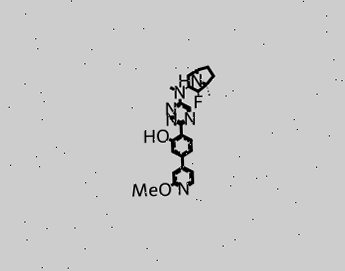 COc1cc(-c2ccc(-c3ncc(N(C)[C@@H]4CC5CC[C@](C)(N5)[C@@H]4F)nn3)c(O)c2)ccn1